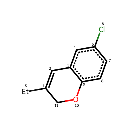 CCC1=Cc2cc(Cl)ccc2OC1